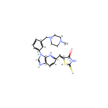 CCN1CCN(Cc2cccc(-n3cnc4ccc(/C=C5\SC(=S)NC5=O)nc43)c2)CC1